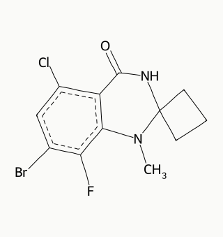 CN1c2c(F)c(Br)cc(Cl)c2C(=O)NC12CCC2